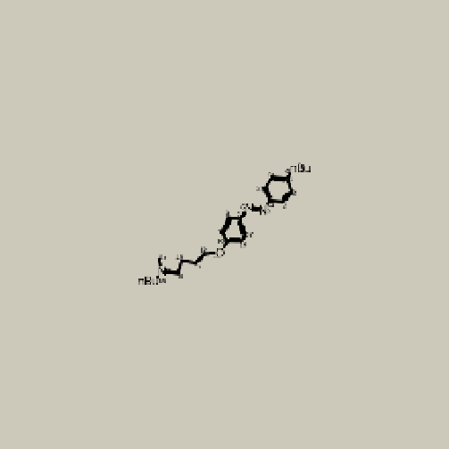 CCCCc1ccc(N=Nc2ccc(OCCCCN(C)CCCC)cc2)cc1